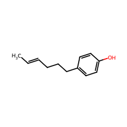 CC=CCCCc1ccc(O)cc1